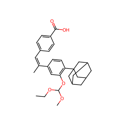 CCOC(OC)Oc1cc(/C(C)=C\c2ccc(C(=O)O)cc2)ccc1C12CC3CC(CC(C3)C1)C2